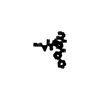 CO[C@@H]1C[C@H]1NC(=O)c1cnn2c(N(C)C(=O)OC(C)(C)C)cc(NC3=CC=CN(C4CCOCC4)C3)nc12